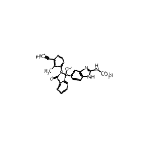 C#Cc1cccc(N2C(=O)c3ccccc3C2(O)c2ccc3[nH]c(NC(=O)O)nc3c2)c1C